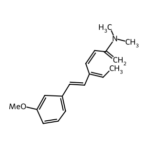 C=C(\C=C/C(=C\C)/C=C/c1cccc(OC)c1)N(C)C